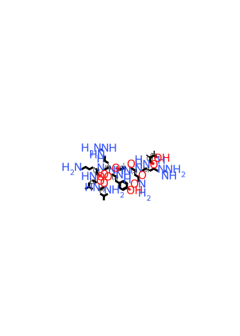 CC(C)C[C@H](NC(=O)[C@H](CC(C)C)NC(=O)[C@H](CCCCN)NC(=O)[C@H](CCCNC(=N)N)NC(=O)[C@H](Cc1ccc(O)cc1)NC(=O)[C@H](C)NC(=O)[C@H](CCC(N)=O)NC(=O)[C@H](CCCNC(=N)N)NC(=O)[C@@H](C)[C@@H](C)O)C(N)=O